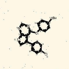 CC(C)(C)c1ccc(Oc2ncnc3scc(-c4ccc(Cl)cc4)c23)cc1